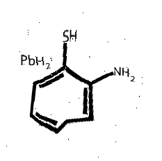 Nc1ccccc1S.[PbH2]